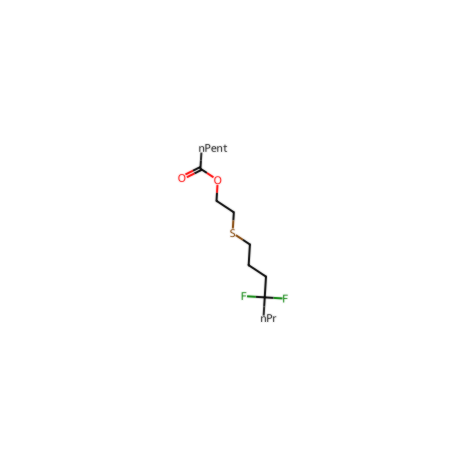 CCCCCC(=O)OCCSCCCC(F)(F)CCC